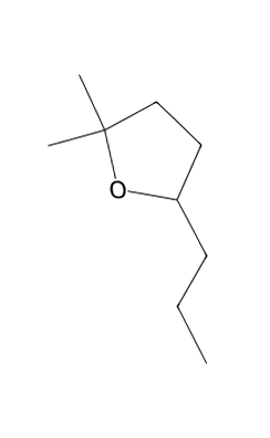 CCCC1CCC(C)(C)O1